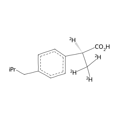 [2H]C([2H])([2H])[C@]([2H])(C(=O)O)c1ccc(CC(C)C)cc1